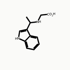 CC(NCC(=O)O)c1c[nH]c2ccccc12